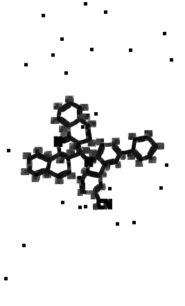 N#Cc1ccc2c(c1)c1cc(-c3ccccc3)ccc1n2-c1c2ccc3ccccc3c2nc2c1ccc1ccccc12